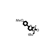 COc1ccc(-c2ccc3c(n2)n(C)c(=O)n3CC(C)(C)C)cc1